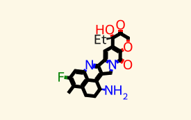 CC[C@@]1(O)C(=O)COc2c1cc1n(c2=O)Cc2c-1nc1cc(F)c(C)c3c1c2[C@@H](N)CC3